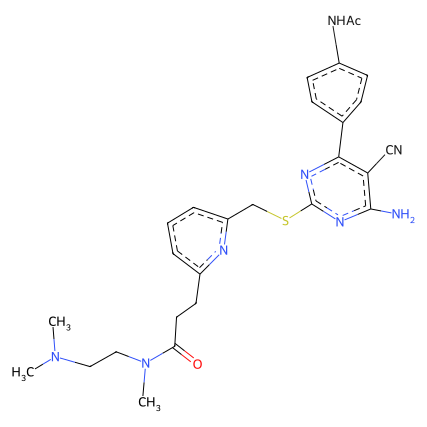 CC(=O)Nc1ccc(-c2nc(SCc3cccc(CCC(=O)N(C)CCN(C)C)n3)nc(N)c2C#N)cc1